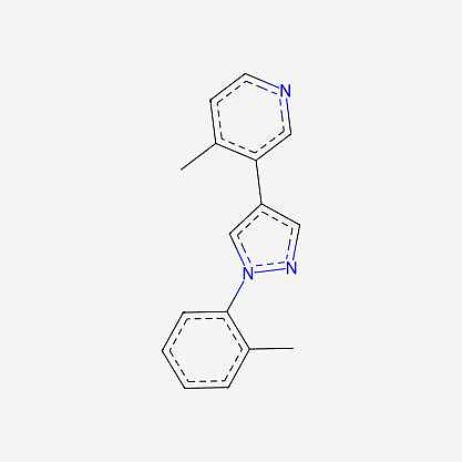 Cc1ccncc1-c1cnn(-c2ccccc2C)c1